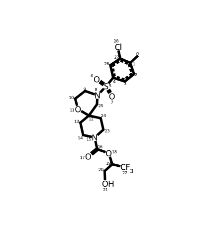 Cc1ccc(S(=O)(=O)N2CCOC3(CCN(C(=O)OC(CO)C(F)(F)F)CC3)C2)cc1Cl